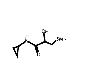 CSCC(O)C(=O)NC1CC1